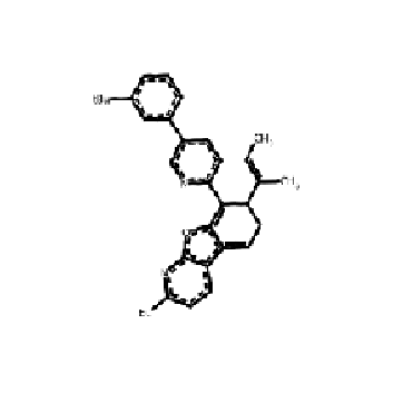 CC=C(C)C1CC=c2c(oc3nc(CC)ccc23)=C1c1ccc(-c2cccc(C(C)(C)C)c2)cn1